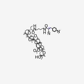 CCC(C(=O)NCCCCNC(=O)/C(C#N)=C/c1ccc(N(C)C)cc1)[C@H]1CC[C@H](C)[C@H]([C@@H](C)[C@H](O)[C@H](C)C(=O)[C@H](CC)[C@H]2O[C@]3(C=C[C@@H](OC(C)=O)[C@]4(CC[C@@](C)([C@H]5CC[C@](O)(CC)[C@H](C)O5)O4)O3)[C@H](C)C[C@@H]2C)O1